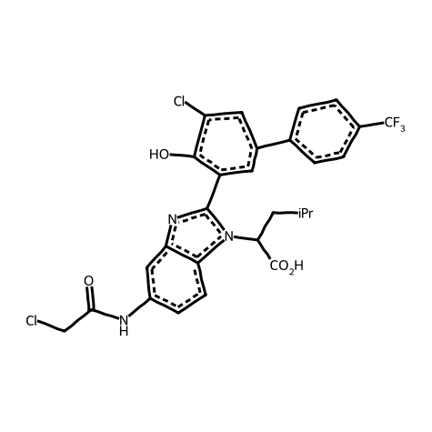 CC(C)CC(C(=O)O)n1c(-c2cc(-c3ccc(C(F)(F)F)cc3)cc(Cl)c2O)nc2cc(NC(=O)CCl)ccc21